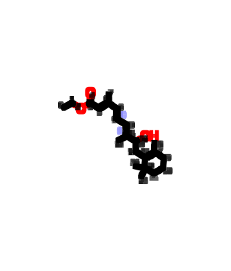 CCOC(=O)C=C(C)/C=C/C=C(\C)C(O)CC1=C(C)CCCC1(C)C